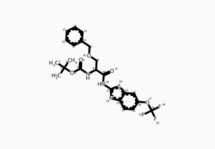 CC(C)(C)OC(=O)NC(COCc1ccccc1)C(=O)Nc1nc2ccc(OC(F)(F)F)cc2s1